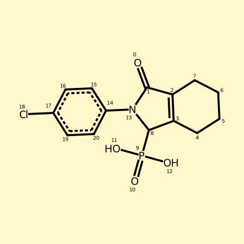 O=C1C2=C(CCCC2)C(P(=O)(O)O)N1c1ccc(Cl)cc1